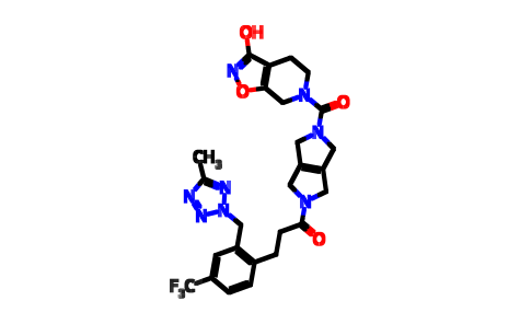 Cc1nnn(Cc2cc(C(F)(F)F)ccc2CCC(=O)N2CC3=C(C2)CN(C(=O)N2CCc4c(O)noc4C2)C3)n1